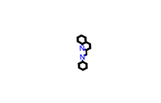 C(=Nc1ccccc1)c1ccc2ccccc2n1